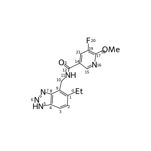 CCc1ccc2[nH]nnc2c1CNC(=O)c1cnc(OC)c(F)c1